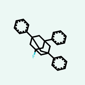 FC12CC3(c4ccccc4)CC(c4ccccc4)(C1)CC(c1ccccc1)(C2)C3